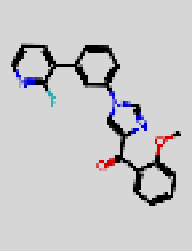 COc1ccccc1C(=O)c1cn(-c2cccc(-c3cccnc3F)c2)cn1